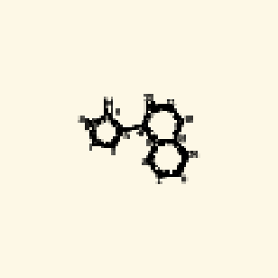 c1ccc2c(-c3ccn[nH]3)nccc2c1